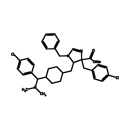 COC(=O)C1(Cc2ccc(Cl)cc2)N=CN(Cc2ccccc2)C1CC1CCC(C(c2ccc(Cl)cc2)N(C)C)CC1